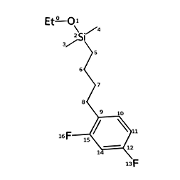 CCO[Si](C)(C)CCCCc1ccc(F)cc1F